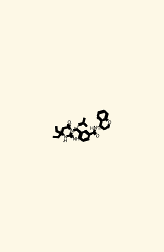 CCC1(CC)CC(=O)N([C@H](CC(C)C)c2cccc(C(=O)N[C@H]3CCOc4ccccc43)c2)C(=N)N1